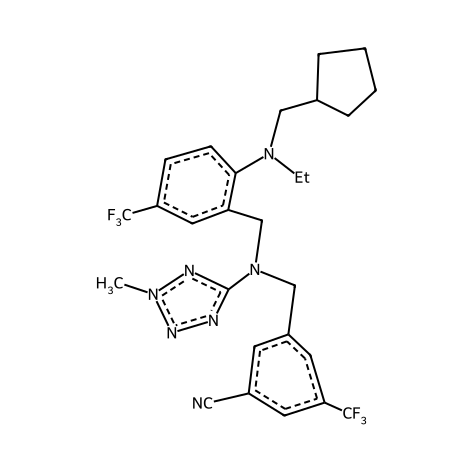 CCN(CC1CCCC1)c1ccc(C(F)(F)F)cc1CN(Cc1cc(C#N)cc(C(F)(F)F)c1)c1nnn(C)n1